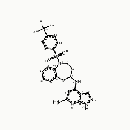 Nc1nc(NC2CCN(S(=O)(=O)c3ccc(C(F)(F)F)cc3)c3ccccc3C2)c2cn[nH]c2n1